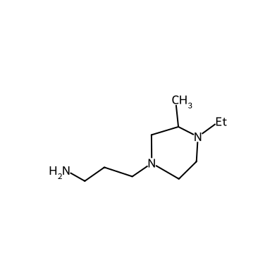 CCN1CCN(CCCN)CC1C